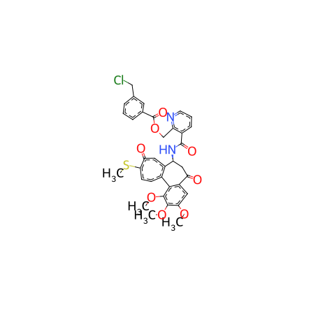 COc1cc2c(c(OC)c1OC)-c1ccc(SC)c(=O)cc1[C@@H](NC(=O)c1cccnc1COC(=O)c1cccc(CCl)c1)CC2=O